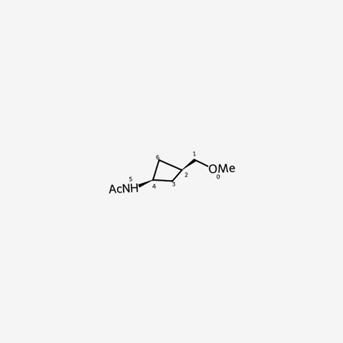 COC[C@H]1C[C@@H](NC(C)=O)C1